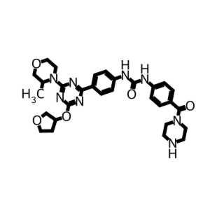 CC1COCCN1c1nc(OC2CCOC2)nc(-c2ccc(NC(=O)Nc3ccc(C(=O)N4CCNCC4)cc3)cc2)n1